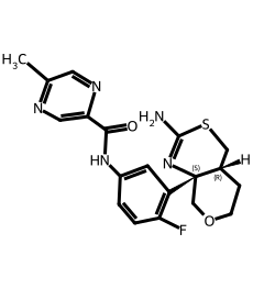 Cc1cnc(C(=O)Nc2ccc(F)c([C@]34COCC[C@H]3CSC(N)=N4)c2)cn1